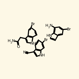 N#Cc1c[nH]c2cc(Br)ccc12.NC(=O)Cc1c[nH]c2ccc(Br)cc12.Nc1cc(Br)cc2cc[nH]c12